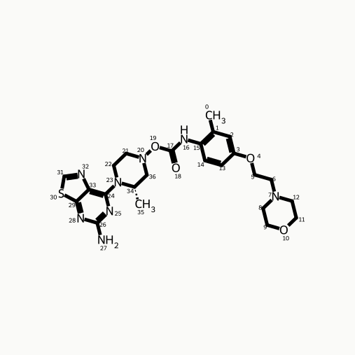 Cc1cc(OCCN2CCOCC2)ccc1NC(=O)ON1CCN(c2nc(N)nc3scnc23)[C@@H](C)C1